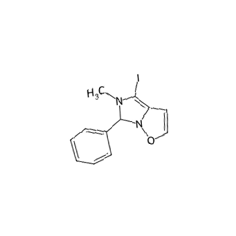 CN1C(I)=C2C=CON2C1c1ccccc1